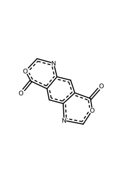 O=c1ocnc2cc3c(=O)ocnc3cc12